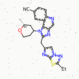 CCc1nn2cc(Cc3nc4cnc5ccc(C#N)cc5c4n3C3CCO[C@H](C)C3)nc2s1